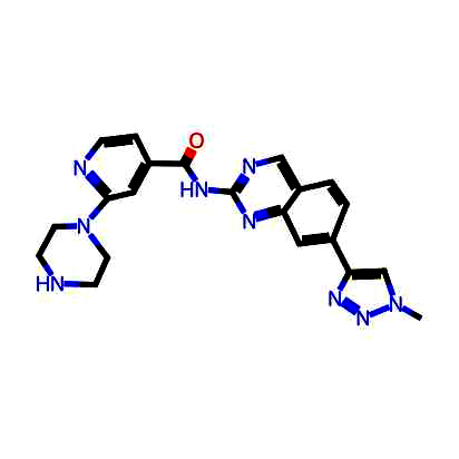 Cn1cc(-c2ccc3cnc(NC(=O)c4ccnc(N5CCNCC5)c4)nc3c2)nn1